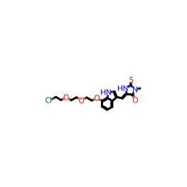 CN1C(=O)/C(=C/c2c[nH]c3c(OCCOCCOCCCl)cccc23)NC1=S